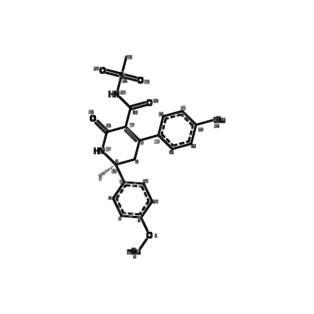 CCCCOc1ccc([C@]2(C)CC(c3ccc(C(C)(C)C)cc3)=C(C(=O)NS(C)(=O)=O)C(=O)N2)cc1